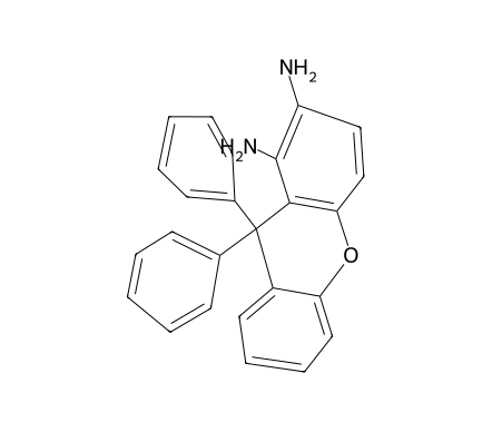 Nc1ccc2c(c1N)C(c1ccccc1)(c1ccccc1)c1ccccc1O2